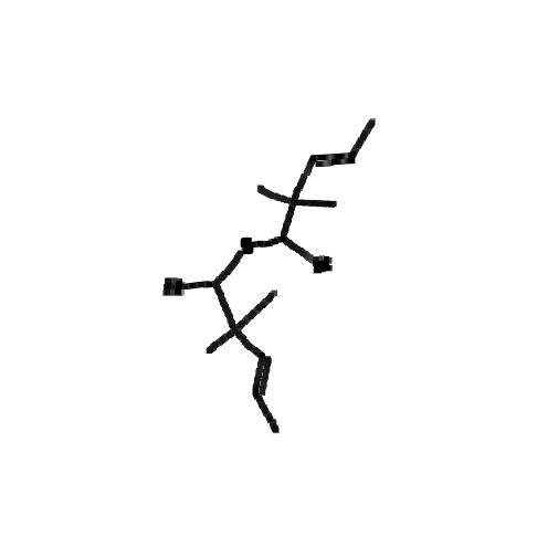 CC=CC(C)(C)C(CC)SC(CC)C(C)(C)C=CC